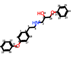 OC(CNCCc1ccc(Oc2ccccc2)cc1)COc1ccccc1